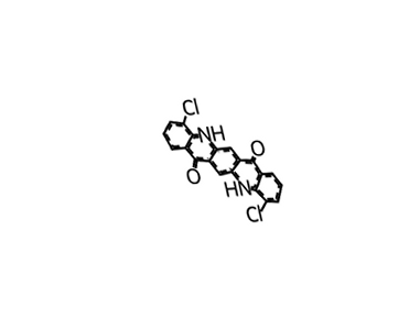 O=c1c2cc3[nH]c4c(Cl)cccc4c(=O)c3cc2[nH]c2c(Cl)cccc12